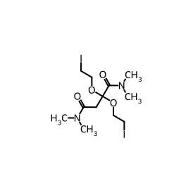 CN(C)C(=O)CC(OCCI)(OCCI)C(=O)N(C)C